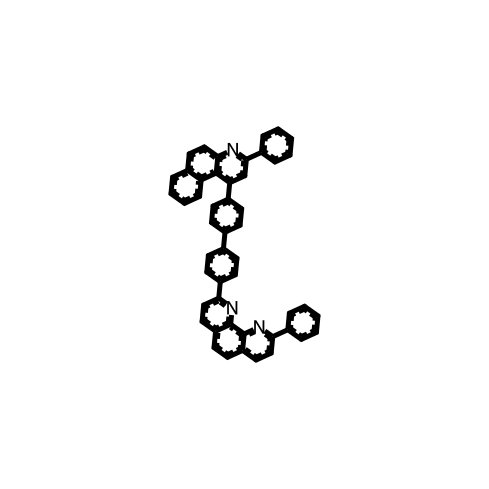 c1ccc(-c2cc(-c3ccc(-c4ccc(-c5ccc6ccc7ccc(-c8ccccc8)nc7c6n5)cc4)cc3)c3c(ccc4ccccc43)n2)cc1